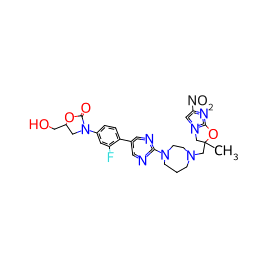 CC1(CN2CCCN(c3ncc(-c4ccc(N5CC(CO)OC5=O)cc4F)cn3)CC2)Cn2cc([N+](=O)[O-])nc2O1